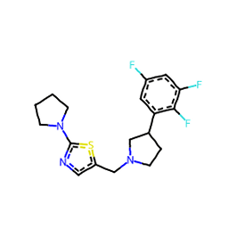 Fc1cc(F)c(F)c(C2CCN(Cc3cnc(N4CCCC4)s3)C2)c1